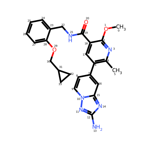 COc1nc(C)c(-c2ccn3nc(N)nc3c2)cc1C(=O)NCc1ccccc1OCC1CC1